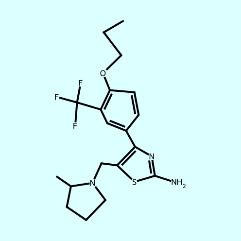 CCCOc1ccc(-c2nc(N)sc2CN2CCCC2C)cc1C(F)(F)F